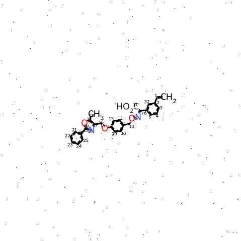 C=Cc1cccc(C(=NOCc2ccc(OCc3nc(-c4ccccc4)oc3C)cc2)C(=O)O)c1